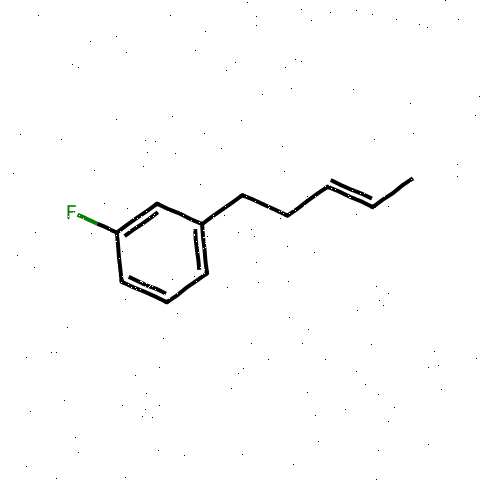 C/C=C/CCc1cccc(F)c1